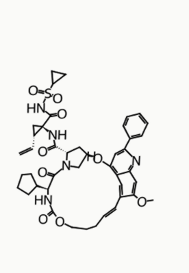 C=C[C@@H]1C[C@]1(NC(=O)[C@@H]1C[C@@H]2CN1C(=O)[C@H](C1CCCC1)NC(=O)OCCC/C=C/c1cc3c(cc(-c4ccccc4)nc3cc1OC)O2)C(=O)NS(=O)(=O)C1CC1